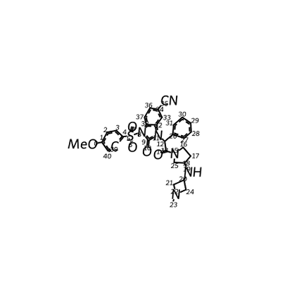 COc1ccc(S(=O)(=O)n2c(=O)n(C(C(=O)N3CCC(NC4CN(C)C4)C3)c3ccccc3)c3cc(C#N)ccc32)cc1